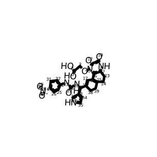 O=C(O)COn1c2c([nH]c(=O)c1=O)CCC1=C2C=C(C(NC(=O)Nc2ccc([N+](=O)[O-])cc2)c2cc[nH]c2)CC1